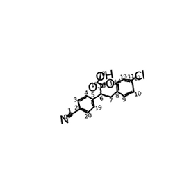 N#Cc1ccc(C(Cc2ccc(Cl)cc2)S(=O)(=O)O)cc1